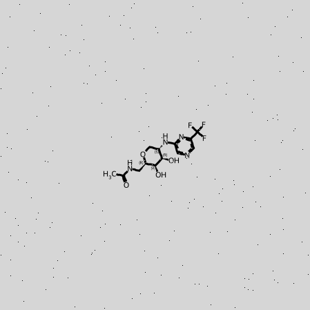 CC(=O)NC[C@H]1OC[C@H](Nc2cncc(C(F)(F)F)n2)[C@@H](O)[C@H]1O